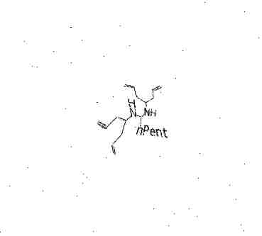 C=CCC(CC=C)NC(CCCCC)NC(CC=C)CC=C